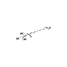 O=C(O)CCCCCCCCC(=O)OC[C@H](O)[C@H](O)CO